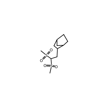 CS(=O)(=O)C(CC1CC2CCC1C2)S(C)(=O)=O